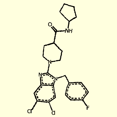 O=C(NC1CCCC1)C1CCN(c2nc3cc(Cl)c(Cl)cc3n2Cc2ccc(F)cc2)CC1